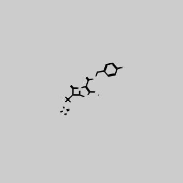 CCSC1=C(C(=O)OCc2ccc([N+](=O)[O-])cc2)N2C(=O)C(C(C)(C)OS(C)(=O)=O)C2S1